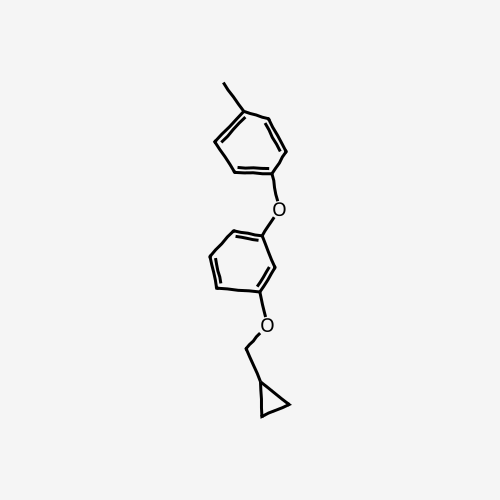 Cc1ccc(Oc2cccc(OCC3CC3)c2)cc1